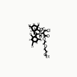 CCOCCOCCOC(=O)C(C(Cl)C(=O)O)P(=O)(C(=O)c1c(C)cc(C)cc1C)C(=O)c1c(C)cc(C)cc1C